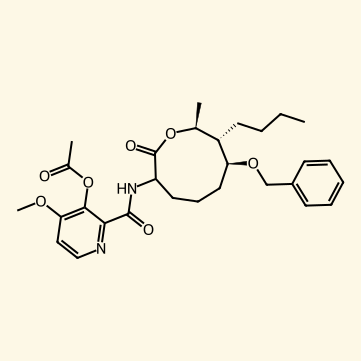 CCCC[C@H]1[C@H](C)OC(=O)C(NC(=O)c2nccc(OC)c2OC(C)=O)CCC[C@@H]1OCc1ccccc1